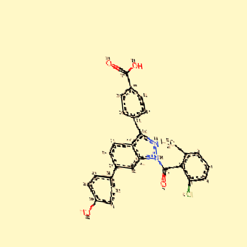 Cc1cccc(Cl)c1C(=O)n1nc(-c2ccc(C(=O)O)cc2)c2ccc(-c3ccc(O)cc3)cc21